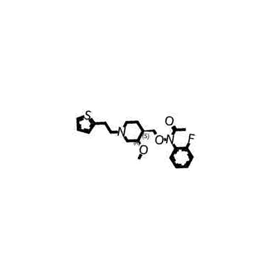 CO[C@H]1CN(CCc2cccs2)CC[C@H]1CON(C(C)=O)c1ccccc1F